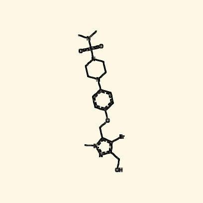 CN(C)S(=O)(=O)N1CCN(c2ccc(OCc3c(Br)c(CO)nn3C)cc2)CC1